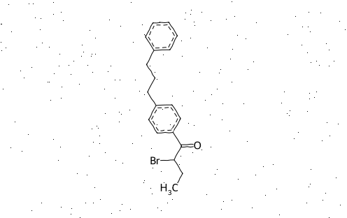 CCC(Br)C(=O)c1ccc(CCCc2ccccc2)cc1